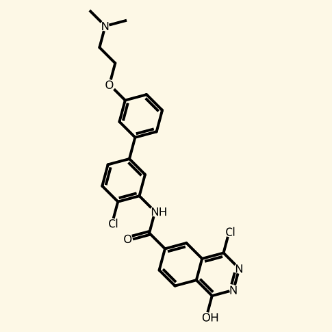 CN(C)CCOc1cccc(-c2ccc(Cl)c(NC(=O)c3ccc4c(O)nnc(Cl)c4c3)c2)c1